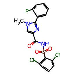 Cn1cc(C(=O)NS(=O)(=O)c2c(Cl)cccc2Cl)nc1-c1ccccc1F